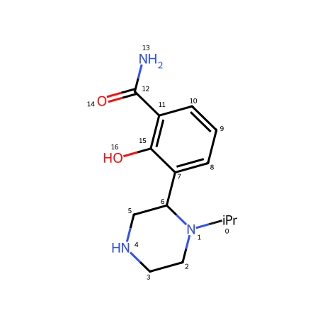 CC(C)N1CCNCC1c1cccc(C(N)=O)c1O